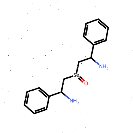 NC(C[Se](=O)CC(N)c1ccccc1)c1ccccc1